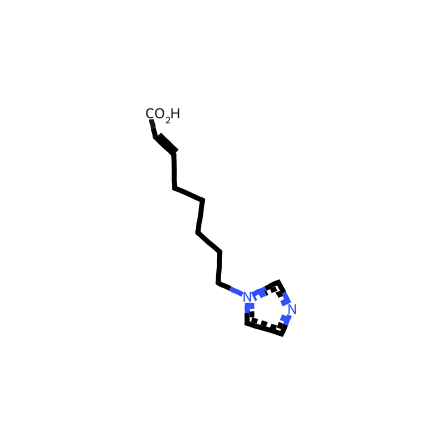 O=C(O)C=CCCCCCn1ccnc1